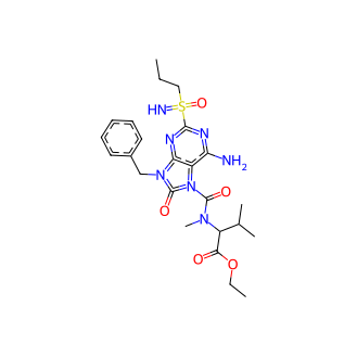 CCCS(=N)(=O)c1nc(N)c2c(n1)n(Cc1ccccc1)c(=O)n2C(=O)N(C)C(C(=O)OCC)C(C)C